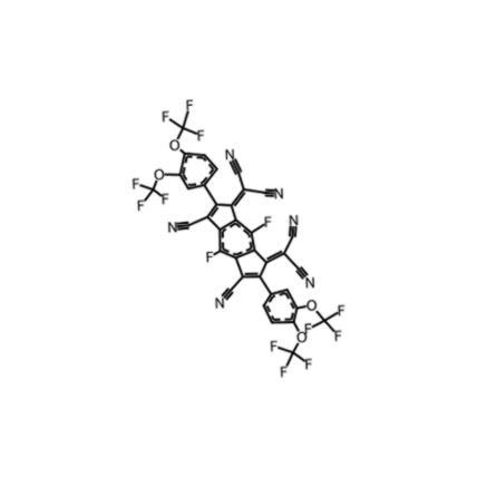 N#CC(C#N)=C1C(c2ccc(OC(F)(F)F)c(OC(F)(F)F)c2)=C(C#N)c2c(F)c3c(c(F)c21)C(=C(C#N)C#N)C(c1ccc(OC(F)(F)F)c(OC(F)(F)F)c1)=C3C#N